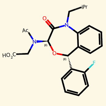 CC(=O)N(CC(=O)O)[C@@H]1O[C@@H](c2ccccc2F)c2ccccc2N(CC(C)C)C1=O